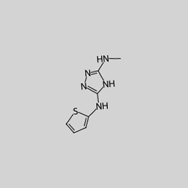 CNc1nnc(Nc2cccs2)[nH]1